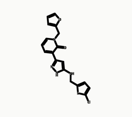 O=c1c(-c2cc(NCc3ccc(Cl)s3)[nH]n2)cccn1Cc1ccco1